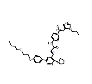 CCCCOCCOc1ccc(-c2cnc(N3CCCC3)c(/C=C/C(=O)Nc3ccc([S@@+]([O-])Cc4cncn4CCC)cc3)c2)cc1